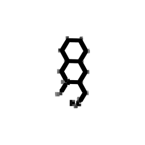 CCC1CC2CCCCC2CN1I